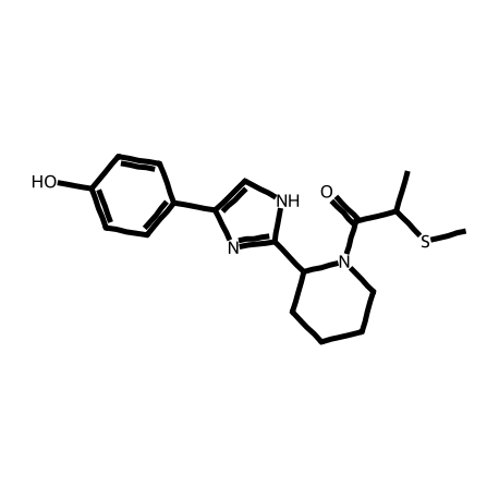 CSC(C)C(=O)N1CCCCC1c1nc(-c2ccc(O)cc2)c[nH]1